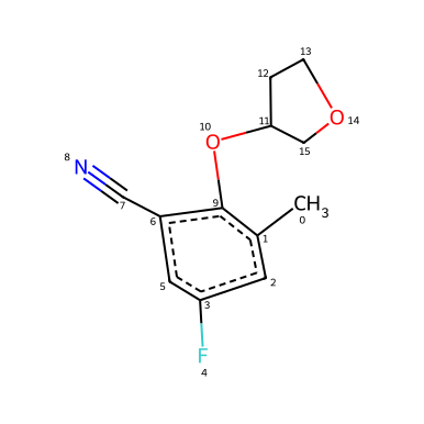 Cc1cc(F)cc(C#N)c1OC1CCOC1